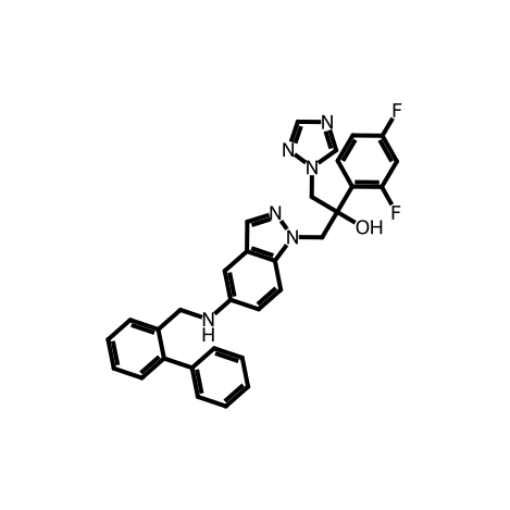 OC(Cn1cncn1)(Cn1ncc2cc(NCc3ccccc3-c3ccccc3)ccc21)c1ccc(F)cc1F